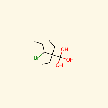 CCC(Br)C(CC)(CC)C(O)(O)O